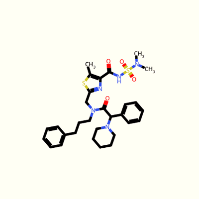 Cc1sc(CN(CCCc2ccccc2)C(=O)C(c2ccccc2)N2CCCCC2)nc1C(=O)NS(=O)(=O)N(C)C